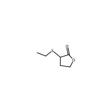 CCSC1CCOC1=O